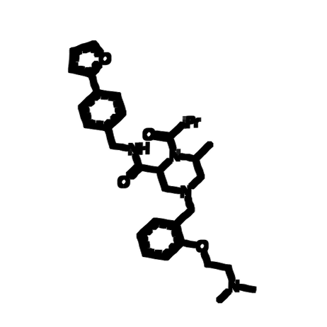 CC(C)C(=O)N1C(C)CN(Cc2ccccc2OCCN(C)C)CC1C(=O)NCc1ccc(-c2ccco2)cc1